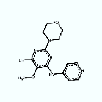 COc1c(Cl)nc(N2CCOCC2)nc1Nc1ccncc1